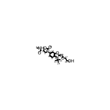 CNC(=O)[C@H]1CN(c2ccc3c(c2)oc(=NOCCO)n3C(C)(C)C)C(=O)O1